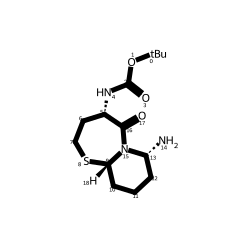 CC(C)(C)OC(=O)N[C@H]1CCS[C@H]2CCC[C@@H](N)N2C1=O